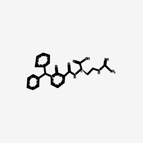 N=C(N)NCC[C@H](NC(=O)c1cccn(C(c2ccccc2)c2ccccc2)c1=O)C(=O)O